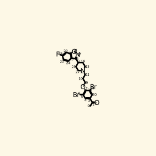 CC(=O)c1cc(Br)c(OCCCN2CCC(c3noc4cc(F)ccc34)CC2)c(Br)c1